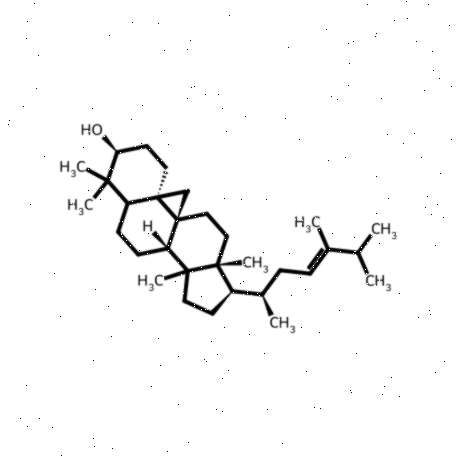 C/C(=C\C[C@@H](C)[C@H]1CCC2(C)[C@@H]3CCC4C(C)(C)[C@@H](O)CC[C@@]45C[C@@]35CC[C@]12C)C(C)C